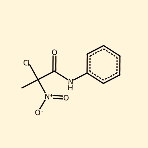 CC(Cl)(C(=O)Nc1ccccc1)[N+](=O)[O-]